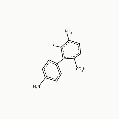 Nc1ccc(-c2c(C(=O)O)ccc(N)c2F)cc1